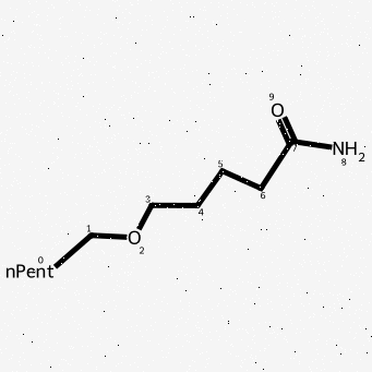 [CH2]CCCCCOCCCCC(N)=O